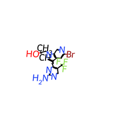 CC(C)(O)Cn1cc(-c2nc(N)ncc2C(F)(F)F)c2cc(Br)ncc21